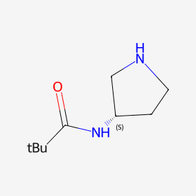 CC(C)(C)C(=O)N[C@H]1CCNC1